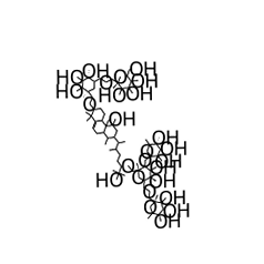 CC(CCC(OC[C@@]1(C)OC(COC[C@@]2(C)OC(C)[C@H](O)C(O)C2O)[C@H](O)C(O)C1O[C@@]1(C)OC(C)[C@H](O)C(O)C1O)C(C)(C)O)C(C)C1CC(O)C2(C)C3CCC(OC[C@]4(C)CC(COC[C@]5(C)OC(CO)[C@@H](O)C(O)C5O)[C@@H](O)C(O)C4O)C(C)(C)C3=CCC2C1C